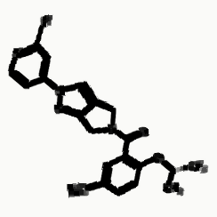 CC(C)c1cc(-n2cc3c(n2)CN(C(=O)c2cc(C#N)ccc2O[C@@H](C)C(F)(F)F)C3)ccn1